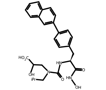 CC(C)CN(CC(O)C(=O)O)C(=O)N[C@@H](Cc1ccc(-c2ccc3ccccc3c2)cc1)C(=O)NO